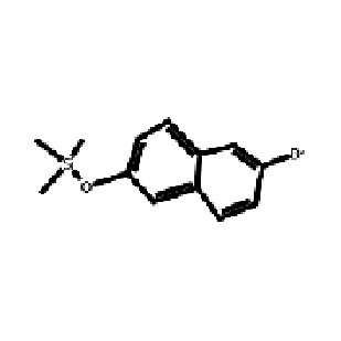 C[Si](C)(C)Oc1ccc2cc(Br)ccc2c1